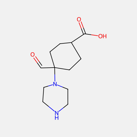 O=CC1(N2CCNCC2)CCC(C(=O)O)CC1